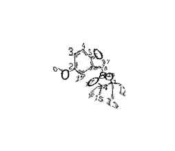 COc1ccc2occ(B3OC(C)(C)C(C)(C)O3)c2c1